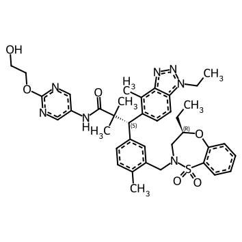 CC[C@@H]1CN(Cc2cc([C@@H](c3ccc4c(nnn4CC)c3C)C(C)(C)C(=O)Nc3cnc(OCCO)nc3)ccc2C)S(=O)(=O)c2ccccc2O1